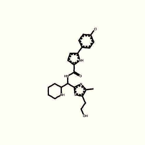 Cc1nc(C(NC(=O)c2ccc(-c3ccc(Cl)cc3)[nH]2)C2CCCCN2)sc1CCO